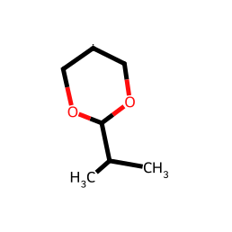 CC(C)C1OC[CH]CO1